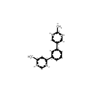 Cc1cc(-c2cccc(-c3cnc(C)nc3)c2)ncn1